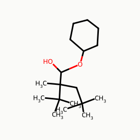 CC(C)(C)CC(C)(C(O)OC1CCCCC1)C(C)(C)C